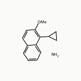 COc1ccc2ccccc2c1C1CC1.N